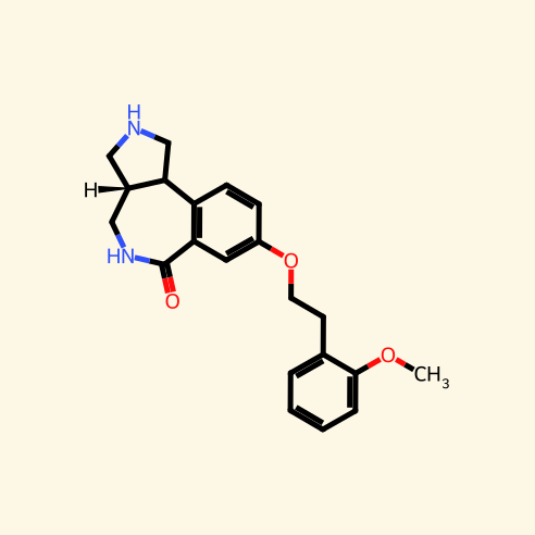 COc1ccccc1CCOc1ccc2c(c1)C(=O)NC[C@@H]1CNCC21